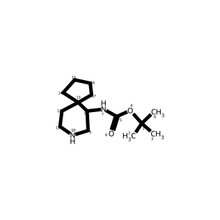 CC(C)(C)OC(=O)NC1CNCCC12CCCC2